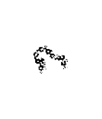 CNc1ccn(-c2ccnc3c2cc([C@H](C)N2CC=C(c4c(C)cc(C(=O)N5CCC(CN6CCN(Cc7ccc8c(c7)C7(CC7)C(=O)N8[C@H]7CCC(=O)NC7=O)C[C@@H]6C)CC5)cc4F)CC2)n3C)c(=O)c1